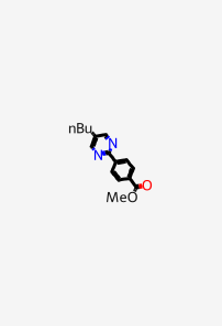 CCCCc1cnc(-c2ccc(C(=O)OC)cc2)nc1